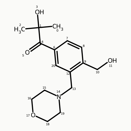 CC(C)(O)C(=O)c1ccc(CO)c(CN2CCOCC2)c1